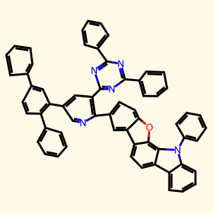 c1ccc(-c2ccc(-c3ccccc3)c(-c3cnc(-c4ccc5oc6c(ccc7c8ccccc8n(-c8ccccc8)c76)c5c4)c(-c4nc(-c5ccccc5)nc(-c5ccccc5)n4)c3)c2)cc1